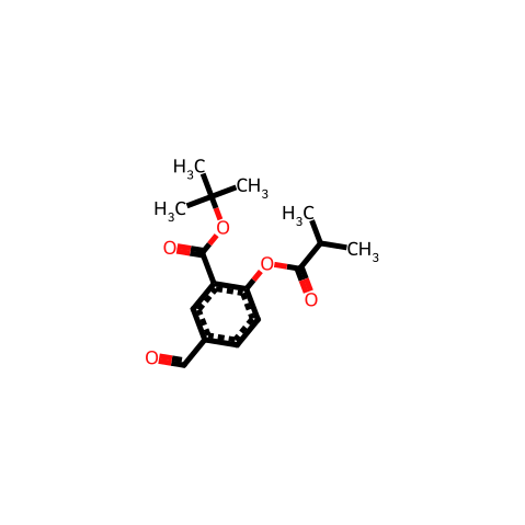 CC(C)C(=O)Oc1ccc(C=O)cc1C(=O)OC(C)(C)C